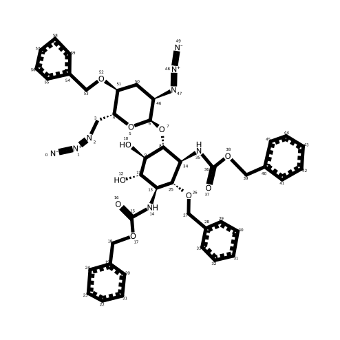 [N-]=[N+]=NC[C@H]1O[C@H](O[C@H]2[C@H](O)[C@@H](O)[C@H](NC(=O)OCc3ccccc3)[C@@H](OCc3ccccc3)[C@@H]2NC(=O)OCc2ccccc2)[C@H](N=[N+]=[N-])C[C@@H]1OCc1ccccc1